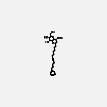 CON(CCCCCCCCC#CCCCCc1cccnc1)[C@@H]1OC(CO)[C@@H](O)[C@H](O)C1O